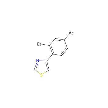 CCc1cc(C(C)=O)ccc1-c1cscn1